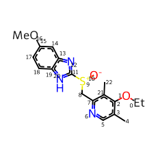 CCOc1c(C)cnc(C[S+]([O-])c2nc3cc(OC)ccc3[nH]2)c1C